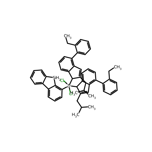 CCc1ccccc1-c1cccc2c1C=C(CC(C)C)[CH]2[Zr]([Cl])([Cl])([c]1cccc2c1[SiH2]c1ccccc1-2)[CH]1C(CC(C)C)=Cc2c(-c3ccccc3CC)cccc21